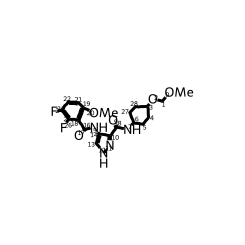 COCOC1CCC(NC(=O)c2n[nH]cc2NC(=O)c2c(OC)ccc(F)c2F)CC1